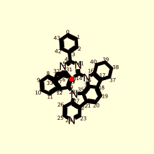 c1ccc(-c2nc(-c3ccccc3)nc(-n3c4c(c5ccc6c7cnccc7n(-c7ccccc7)c6c53)CCCC4)n2)cc1